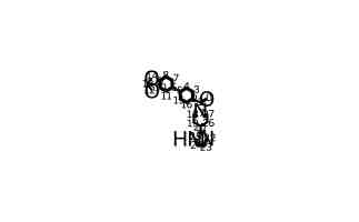 O=C(c1ccc(-c2ccc3c(c2)OCO3)cc1)N1CCC(c2ncc[nH]2)CC1